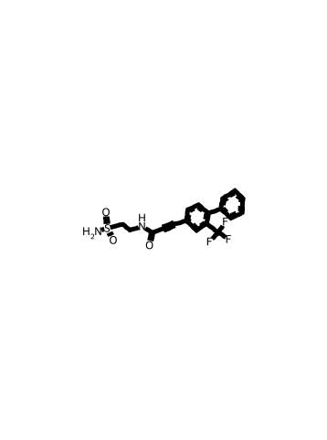 NS(=O)(=O)CCNC(=O)C#Cc1ccc(-c2ccccc2)c(C(F)(F)F)c1